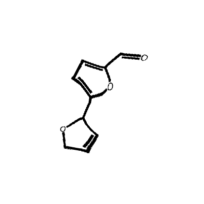 O=Cc1ccc(C2C=CCO2)o1